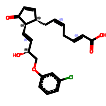 O=C(O)/C=C/C/C=C\C[C@H]1C=CC(=O)[C@@H]1/C=C/[C@@H](O)COc1cccc(Cl)c1